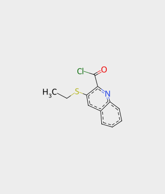 CCSc1cc2ccccc2nc1C(=O)Cl